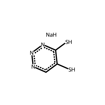 Sc1cnnnc1S.[NaH]